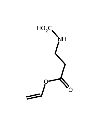 C=COC(=O)CCNC(=O)O